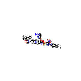 CC(C)c1ccccc1[C@H]1COCCN1C1CCC2(CC1)CCN(c1ccc(C(=O)NS(=O)(=O)c3cnc(NCC4CCC(C)(C)CC4)c([N+](=O)[O-])c3)c(Oc3cnc4[nH]ccc4c3)c1)CC2